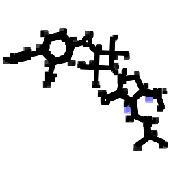 C/N=C1/CN([C@H]2C(C)(C)[C@H](Oc3ccc(C#N)c(Br)c3)C2(C)C)C(=O)/C1=C/N=C(C)C